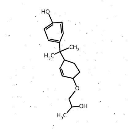 CC(O)COC1C=CC(C(C)(C)c2ccc(O)cc2)CC1